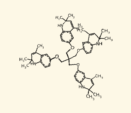 CC1=CC(C)(C)Nc2ccc(OCC(COc3ccc4c(c3)C(C)=CC(C)(C)N4)(COc3ccc4c(c3)C(C)=CC(C)(C)N4)COc3ccc4c(c3)C(C)=CC(C)(C)N4)cc21